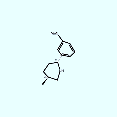 CNc1cccc([C@H]2CC[C@H](C)CN2)c1